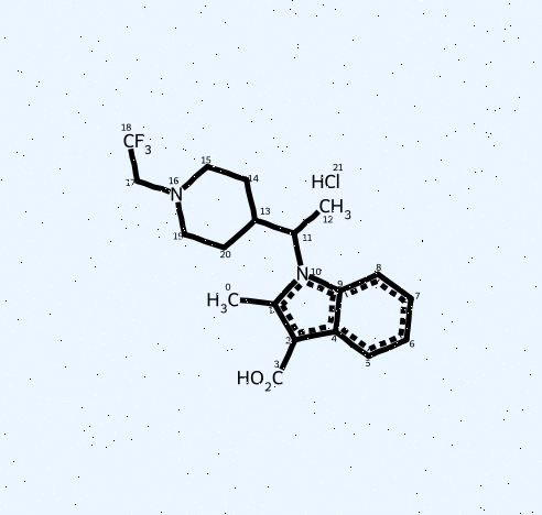 Cc1c(C(=O)O)c2ccccc2n1C(C)C1CCN(CC(F)(F)F)CC1.Cl